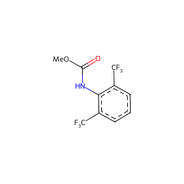 COC(=O)Nc1c(C(F)(F)F)cccc1C(F)(F)F